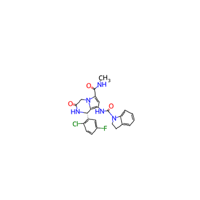 CNC(=O)c1cc(NC(=O)N2CCc3ccccc32)c2n1CC(=O)N[C@H]2c1cc(F)ccc1Cl